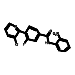 O=C(Nc1ccccc1[N+](=O)[O-])c1ccc(-c2ncccc2Cl)c(F)c1